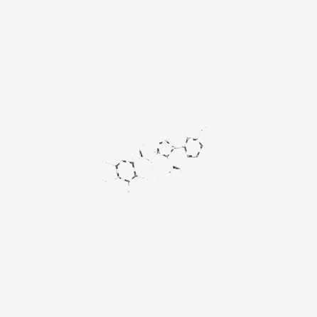 COc1c(I)cc(C(=O)Nc2scc(-c3cccc(I)c3)c2C(=O)O)c(I)c1I